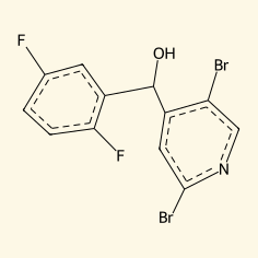 OC(c1cc(F)ccc1F)c1cc(Br)ncc1Br